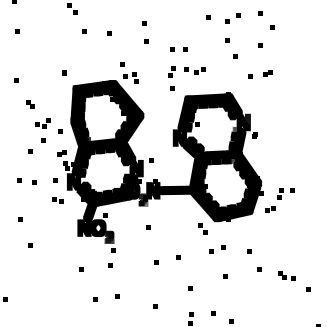 O=[N+]([O-])c1cccc2nccnc12.O=[N+]([O-])c1cnc2ccccc2n1